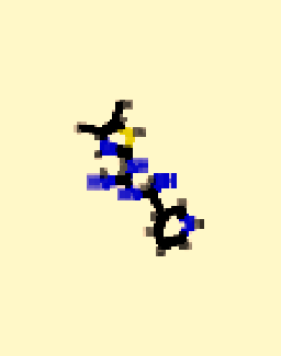 Cc1nc(NC(=N)NC(=N)c2cccnc2)sc1C